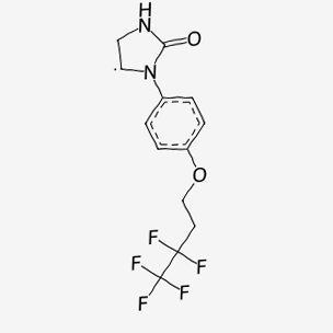 O=C1NC[CH]N1c1ccc(OCCC(F)(F)C(F)(F)F)cc1